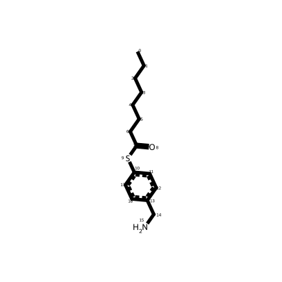 CCCCCCCC(=O)Sc1ccc(CN)cc1